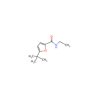 CCNC(=O)c1ccc(C(C)(C)C)o1